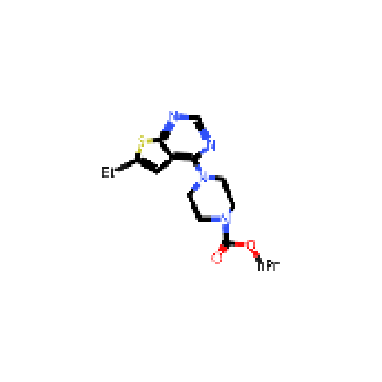 CCCOC(=O)N1CCN(c2ncnc3sc(CC)cc23)CC1